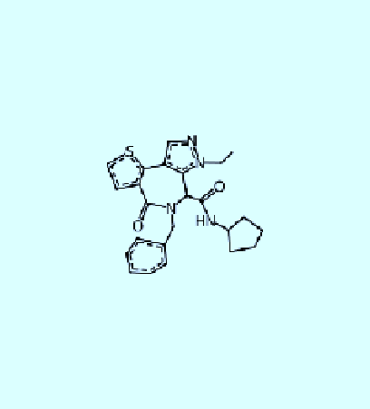 CCn1ncc2c1C(C(=O)NC1CCCC1)N(Cc1ccccc1)C(=O)c1ccsc1-2